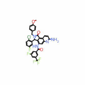 COc1ccc(CN2C(=O)c3c(c(NC(=O)c4cc(F)cc(C(F)(F)F)c4)cc4nc(N)ccc34)C2c2cc(F)ccc2Cl)cc1